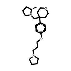 C[C@@H]1CCCN1CC1(c2ccc(OCCCN3CCCC3)cc2)CCOCC1